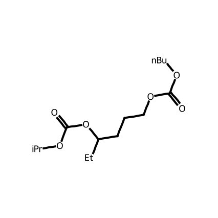 CCCCOC(=O)OCCCC(CC)OC(=O)OC(C)C